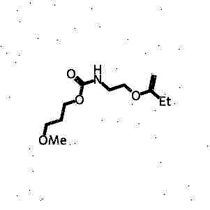 C=C(CC)OCCNC(=O)OCCCOC